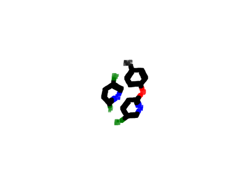 Fc1ccc(Br)cn1.N#Cc1ccc(Oc2ccc(Br)cn2)cc1